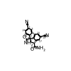 N#Cc1ccc(C(CCC(N)=O)(C(N)=O)c2ccc(C#N)cc2)cc1